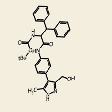 Cc1[nH]nc(CO)c1-c1ccc(NC(=O)C(NC(=O)OC(C)(C)C)C(c2ccccc2)c2ccccc2)cc1